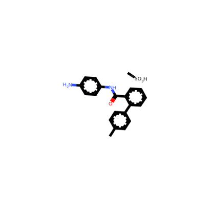 CS(=O)(=O)O.Cc1ccc(-c2ccccc2C(=O)Nc2ccc(N)cc2)cc1